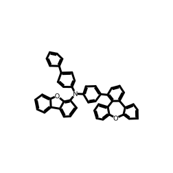 c1ccc(-c2ccc(N(c3ccc(-c4cccc5c4-c4ccccc4Oc4ccccc4-5)cc3)c3cccc4c3oc3ccccc34)cc2)cc1